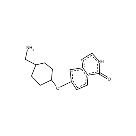 NCC1CCC(Oc2ccc3c(=O)[nH]ccc3c2)CC1